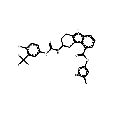 Cc1cc(NC(=O)c2cccc3[nH]c4c(c23)CC(NC(=O)Nc2ccc(Cl)c(C(F)(F)F)c2)CC4)n[nH]1